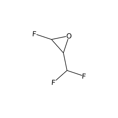 FC(F)C1OC1F